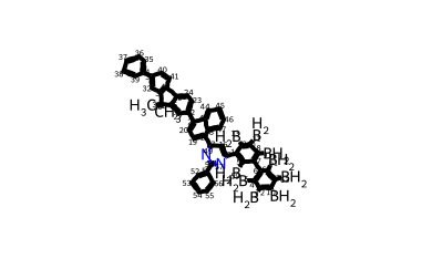 Bc1c(B)c(B)c(-c2c(B)c(B)c(B)c(-c3cc(-c4ccc(-c5ccc6c(c5)C(C)(C)c5cc(-c7ccccc7)ccc5-6)c5ccccc45)nc(-c4ccccc4)n3)c2B)c(B)c1B